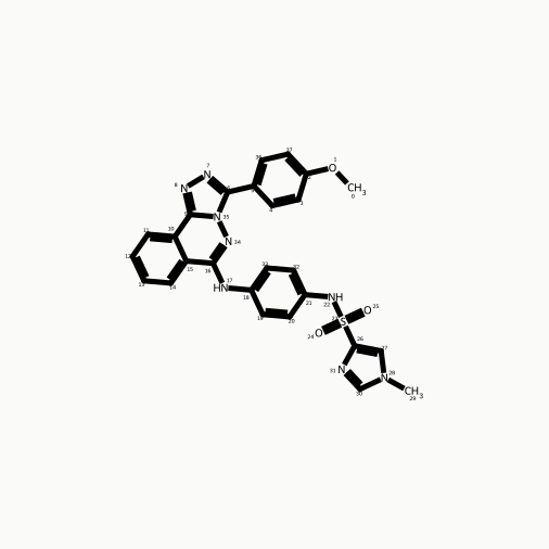 COc1ccc(-c2nnc3c4ccccc4c(Nc4ccc(NS(=O)(=O)c5cn(C)cn5)cc4)nn23)cc1